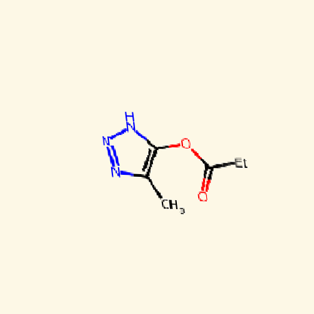 CCC(=O)Oc1[nH]nnc1C